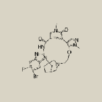 Cn1ncc2c1OCCN1CC3CCC(C3)(C1)n1c(nc3cc(F)c(Br)cc31)NC(=O)c1cc-2c(=O)n(C)c1